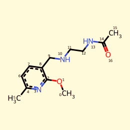 COc1nc(C)ccc1CNCCNC(C)=O